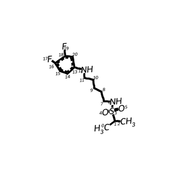 CC(C)S(=O)(=O)NCCCCCNc1ccc(F)c(F)c1